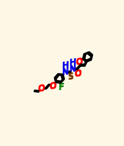 CCOCCOc1ccc(NC(=S)NC(=O)c2cc3ccccc3o2)cc1F